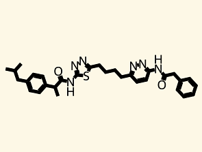 CC(C)Cc1ccc(C(C)C(=O)Nc2nnc(CCCCc3ccc(NC(=O)Cc4ccccc4)nn3)s2)cc1